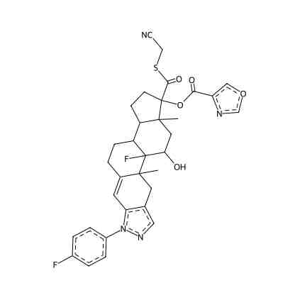 CC12Cc3cnn(-c4ccc(F)cc4)c3C=C1CCC1C3CCC(OC(=O)c4cocn4)(C(=O)SCC#N)C3(C)CC(O)C12F